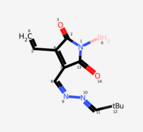 BN1C(=O)C(C=C)=C(/C=N\N=C\C(C)(C)C)C1=O